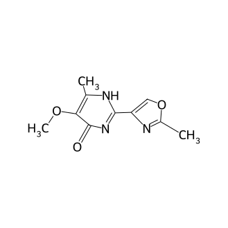 COc1c(C)[nH]c(-c2coc(C)n2)nc1=O